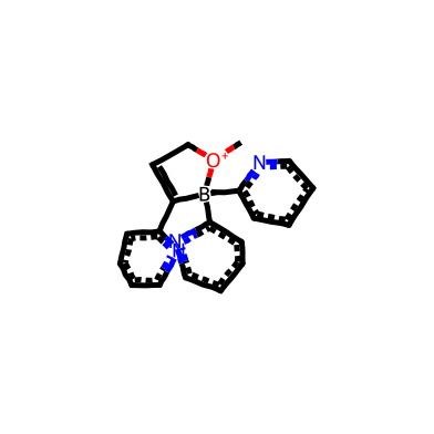 C[O+]1CC=C(c2ccccn2)[B-]1(c1ccccn1)c1ccccn1